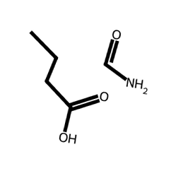 CCCC(=O)O.NC=O